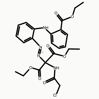 CCOC(=O)c1ccccc1Nc1ccccc1/N=N/C(NC(=O)CCl)(C(=O)OCC)C(=O)OCC